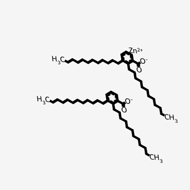 CCCCCCCCCCCCc1cccc(C(=O)[O-])c1CCCCCCCCCCCC.CCCCCCCCCCCCc1cccc(C(=O)[O-])c1CCCCCCCCCCCC.[Zn+2]